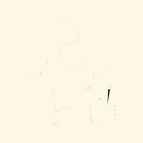 O=C(N[C@H]1CN2CCC1CC2)c1ccc2c(c1)C=CCO2.O=C(O)/C=C/C(=O)O